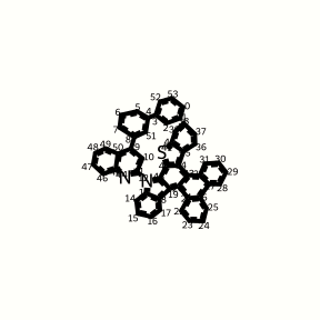 c1ccc(-c2cccc(-c3cc(-n4c5ccccc5c5c6c7ccccc7c7ccccc7c6c6c7ccccc7sc6c54)nc4ccccc34)c2)cc1